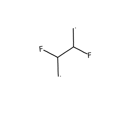 [CH2]C(F)C([CH2])F